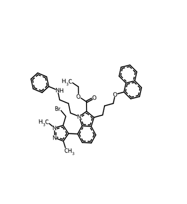 CCOC(=O)c1c(CCCOc2cccc3ccccc23)c2cccc(-c3c(C)nn(C)c3CBr)c2n1CCCNc1ccccc1